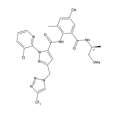 CSC[C@H](C)NC(=O)c1cc(C#N)cc(C)c1NC(=O)c1cc(Cn2cc(C(F)(F)F)nn2)nn1-c1ncccc1Cl